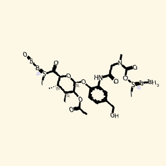 B/B=S(\I)OC(=O)N(C)CC(=O)Nc1cc(CO)ccc1O[C@@H]1OC(C(=O)/S(I)=B/B=O)[C@@H](C)[C@H](C)C1OC(C)=O